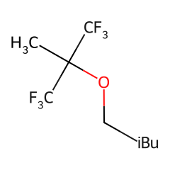 CCC(C)COC(C)(C(F)(F)F)C(F)(F)F